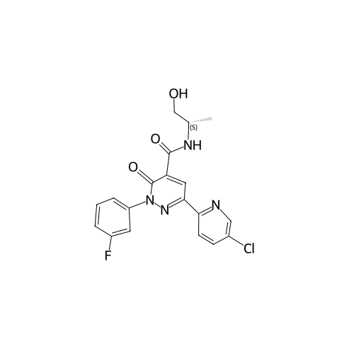 C[C@@H](CO)NC(=O)c1cc(-c2ccc(Cl)cn2)nn(-c2cccc(F)c2)c1=O